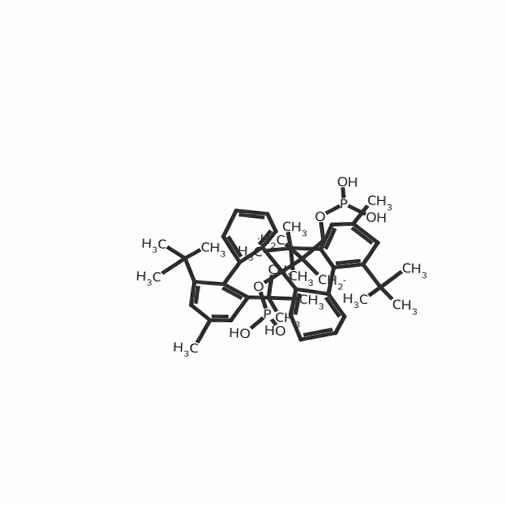 [CH2]C([CH2])(COP(O)O)C(OP(O)O)(c1ccccc1-c1c(C(C)(C)C)cc(C)cc1C(C)(C)C)c1ccccc1-c1c(C(C)(C)C)cc(C)cc1C(C)(C)C